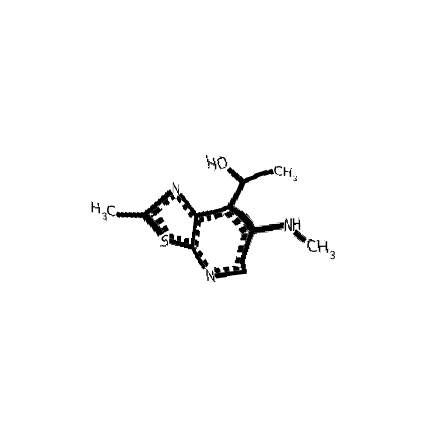 CNc1cnc2sc(C)nc2c1C(C)O